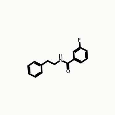 O=C(NCCc1ccccc1)c1cccc(F)c1